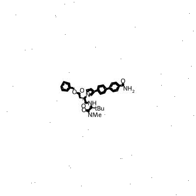 CNC(=O)[C@@H](NC(=O)[C@@H](CC(=O)OCc1ccccc1)n1ccc(-c2ccc(-c3ccc(C(N)=O)cc3)cc2)c1)C(C)(C)C